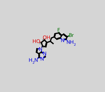 CC(Cc1cc(F)c2cc(Br)c(N)nc2c1)C1=C[C@@H](n2ccc3c(N)ncnc32)[C@H](O)[C@@H]1O